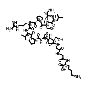 CC(C)C[C@H](NC(=O)[C@H](C)N)C(=O)N[C@@H](CS)C(=O)N1CCC[C@H]1C(=O)N[C@@H](CCCNC(=N)N)C(=O)N[C@H](C(=O)N1CCC[C@H]1C(=O)N[C@@H](CS)C(=O)N[C@@H](CO)C(=O)NCC(=O)NCC(=O)N[C@@H](CCCCN)C(=O)O)C(C)C